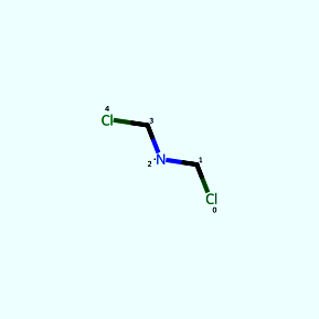 ClC[N]CCl